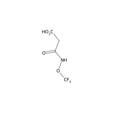 O=C(O)CC(=O)NOC(F)(F)F